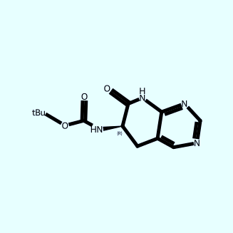 CC(C)(C)OC(=O)N[C@@H]1Cc2cncnc2NC1=O